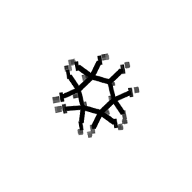 IC1C(I)(I)C(I)(I)C(I)(I)C(I)(I)C1(I)I